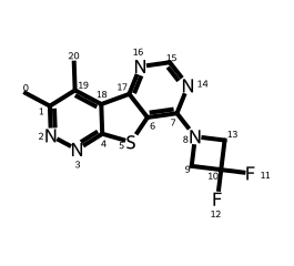 Cc1nnc2sc3c(N4CC(F)(F)C4)ncnc3c2c1C